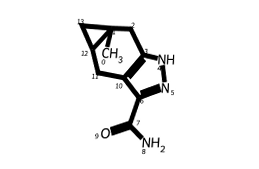 CC12Cc3[nH]nc(C(N)=O)c3CC1C2